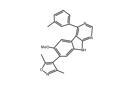 COc1cc2c(cc1-c1c(C)noc1C)[nH]c1ncnc(-c3cccc(C)c3)c12